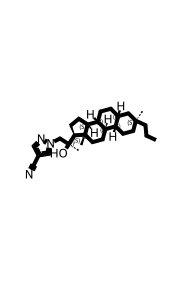 CCC[C@@]1(C)CC[C@H]2[C@H](CC[C@@H]3[C@@H]2CC[C@@]2(C)[C@H]3CC[C@@H]2[C@@](C)(O)Cn2cc(C#N)cn2)C1